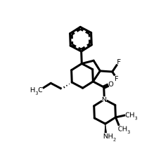 CCC[C@@H]1CC2(c3ccccc3)CC(C(F)F)C(C(=O)N3CC[C@H](N)C(C)(C)C3)(C1)C2